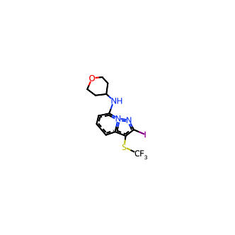 FC(F)(F)Sc1c(I)nn2c(NC3CCOCC3)cccc12